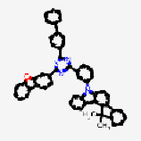 CC1(C)c2ccccc2-c2ccc3c(c21)c1ccccc1n3-c1cccc(-c2nc(-c3ccc(-c4ccccc4)cc3)nc(-c3ccc4c(c3)oc3ccccc34)n2)c1